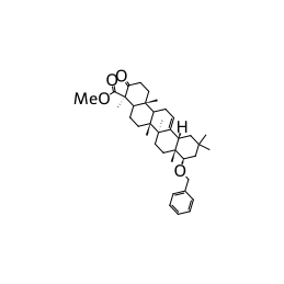 COC(=O)[C@@]1(C)C(=O)CC[C@@]2(C)C1CC[C@]1(C)C2CC=C2[C@@H]3CC(C)(C)C[C@@H](OCc4ccccc4)[C@]3(C)CC[C@]21C